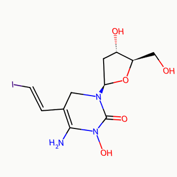 NC1=C(C=CI)CN([C@H]2C[C@H](O)[C@@H](CO)O2)C(=O)N1O